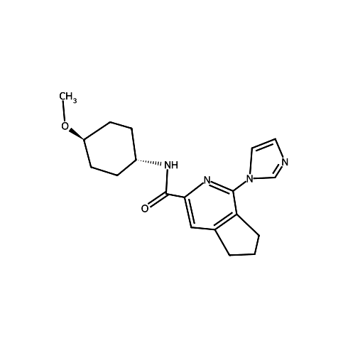 CO[C@H]1CC[C@H](NC(=O)c2cc3c(c(-n4ccnc4)n2)CCC3)CC1